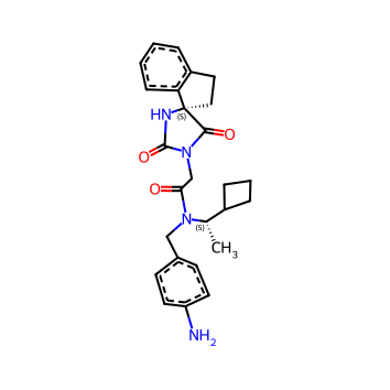 C[C@@H](C1CCC1)N(Cc1ccc(N)cc1)C(=O)CN1C(=O)N[C@]2(CCc3ccccc32)C1=O